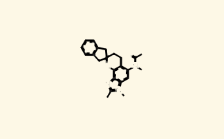 CC(=O)N(C)c1cc2c(nc(C)n2C)c2c1CCC1(Cc3ccccc3C1)O2